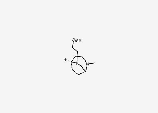 COCCN1CC2CC[C@H]1CCN2C